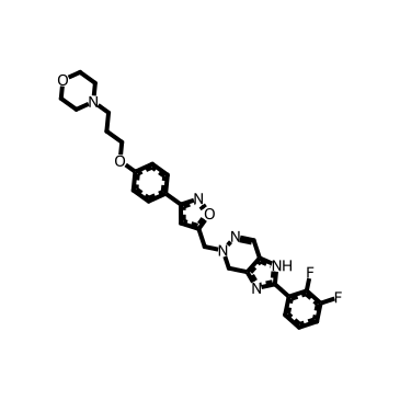 Fc1cccc(-c2nc3c([nH]2)C=NN(Cc2cc(-c4ccc(OCCCN5CCOCC5)cc4)no2)C3)c1F